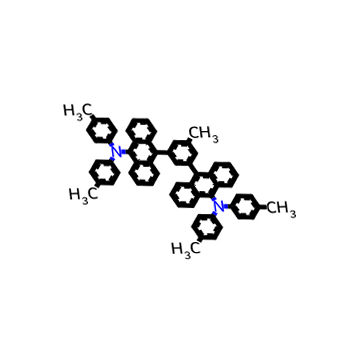 Cc1ccc(N(c2ccc(C)cc2)c2c3ccccc3c(-c3cc(C)cc(-c4c5ccccc5c(N(c5ccc(C)cc5)c5ccc(C)cc5)c5ccccc45)c3)c3ccccc23)cc1